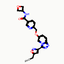 COCc1cc(-c2nnc3ccc(OCc4ccc(C(=O)NC5COC5)cn4)cn23)no1